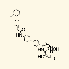 C[C@@H](O)[C@H](NC(=O)c1ccc(-c2ccc(NC(=O)CN3CCC(c4ccccc4F)CC3)cc2)cc1)C(=O)NO